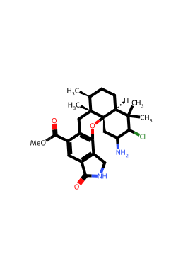 COC(=O)c1cc2c(c3c1C[C@]1(C)[C@@H](C)CC[C@H]4C(C)(C)C(Cl)C(N)C[C@]41O3)CNC2=O